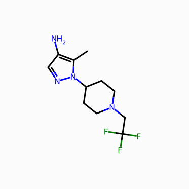 Cc1c(N)cnn1C1CCN(CC(F)(F)F)CC1